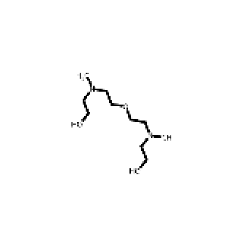 CN(CCO)CCOCCN(C)CCO